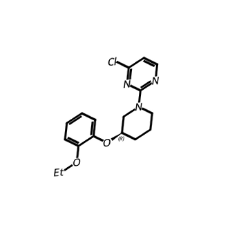 CCOc1ccccc1O[C@@H]1CCCN(c2nccc(Cl)n2)C1